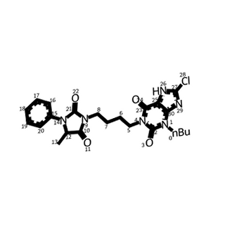 CCCCn1c(=O)n(CCCCN2C(=O)C(C)N(c3ccccc3)C2=O)c(=O)c2[nH]c(Cl)nc21